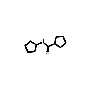 O=C(NC1CCCC1)C1CCCC1